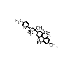 CCc1cc(C)cc(CC)c1C1=C(O)CC(C(C)(C)C[S+]([O-])c2ccc(C(F)(F)F)cn2)CC1=O